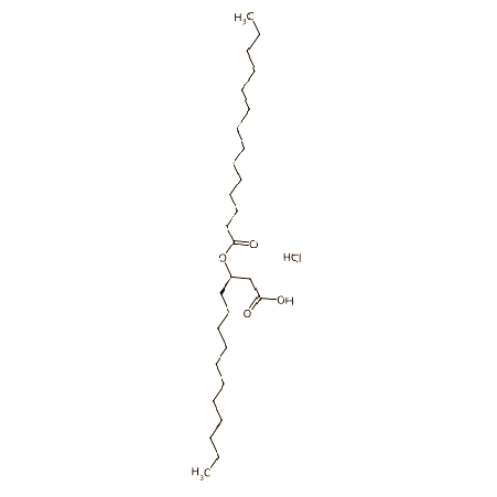 CCCCCCCCCCCCCC(=O)O[C@H](CCCCCCCCCCC)CC(=O)O.Cl